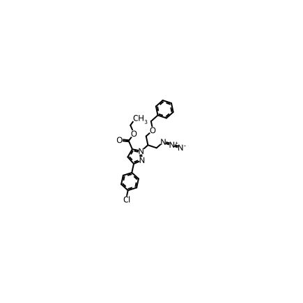 CCOC(=O)c1cc(-c2ccc(Cl)cc2)nn1C(CN=[N+]=[N-])COCc1ccccc1